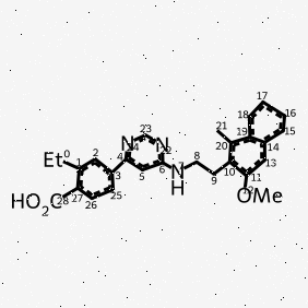 CCc1cc(-c2cc(NCCc3c(OC)cc4ccccc4c3C)ncn2)ccc1C(=O)O